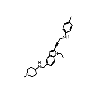 CCn1c(C#CCNc2ccc(C)cc2)cc2cc(CNC3CCN(C)CC3)ccc21